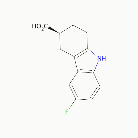 O=C(O)[C@H]1CCc2[nH]c3ccc(F)cc3c2C1